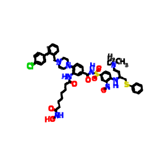 CN(C)CCC(CSc1ccccc1)Nc1ccc(S(=O)(=O)NC(=O)c2ccc(N3CCN(Cc4ccccc4-c4ccc(Cl)cc4)CC3)c(NC(=O)CCCCCCC(=O)NO)c2)cc1N=O